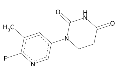 Cc1cc(N2CCC(=O)NC2=O)cnc1F